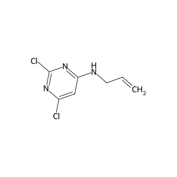 C=CCNc1cc(Cl)nc(Cl)n1